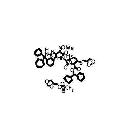 CO/N=C(\C(=O)NC1C(=O)N2C(C(=O)OC(c3ccccc3)c3ccccc3)=C(SCC3COCO3)CS[C@@H]12)c1csc(NC(c2ccccc2)(c2ccccc2)c2ccccc2)n1.O=S(=O)(OCC1COCO1)C(F)(F)F